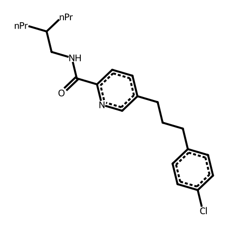 CCCC(CCC)CNC(=O)c1ccc(CCCc2ccc(Cl)cc2)cn1